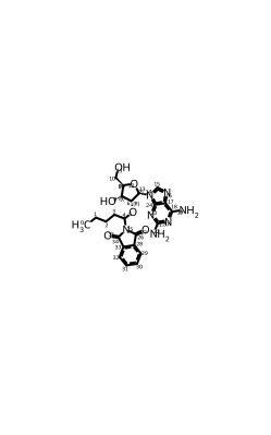 CCCCC(O[C@@H]1[C@H](O)[C@@H](CO)O[C@H]1n1cnc2c(N)nc(N)nc21)N1C(=O)c2ccccc2C1=O